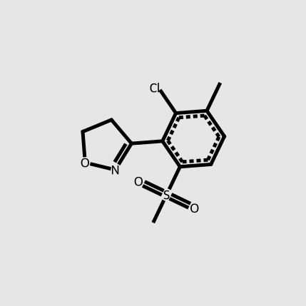 Cc1ccc(S(C)(=O)=O)c(C2=NOCC2)c1Cl